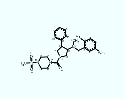 CN(Cc1cc(C(F)(F)F)ccc1F)C1CN(C(=O)N2CCN(S(C)(=O)=O)CC2)CC1c1ccccc1